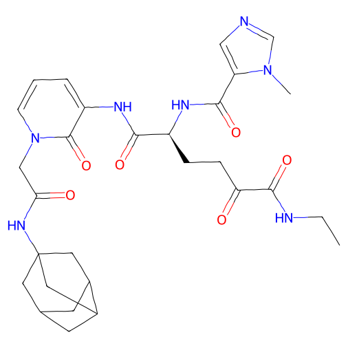 CCNC(=O)C(=O)CC[C@H](NC(=O)c1cncn1C)C(=O)Nc1cccn(CC(=O)NC23CC4CC(C2)C(C4)C3)c1=O